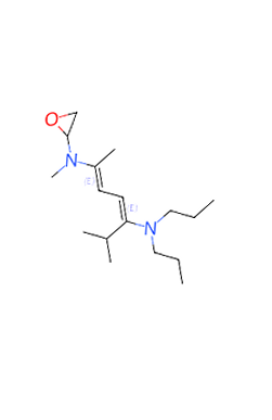 CCCN(CCC)/C(=C/C=C(\C)N(C)C1CO1)C(C)C